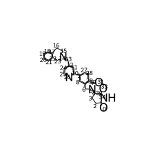 O=C1CCC(N2Cc3cc(-c4cc(CN5CCc6ccccc6C5)ccn4)ccc3C2=O)C(=O)N1